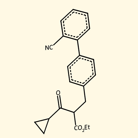 CCOC(=O)C(Cc1ccc(-c2ccccc2C#N)cc1)C(=O)C1CC1